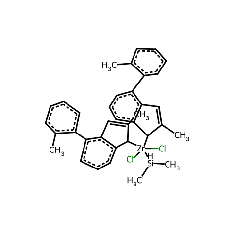 CC1=Cc2c(-c3ccccc3C)cccc2[CH]1[Zr]([Cl])([Cl])([CH]1C(C)=Cc2c(-c3ccccc3C)cccc21)[SiH](C)C